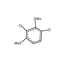 COc1c(Cl)ccc(SC)c1Cl